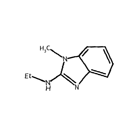 CCNc1nc2ccccc2n1C